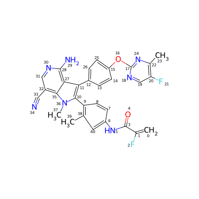 C=C(F)C(=O)Nc1ccc(-c2c(-c3ccc(Oc4ncc(F)c(C)n4)cc3)c3c(N)ncc(C#N)c3n2C)c(C)c1